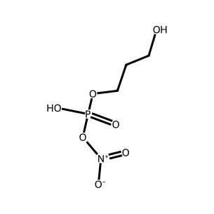 O=[N+]([O-])OP(=O)(O)OCCCO